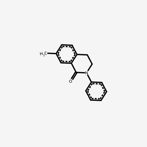 Cc1ccc2c(c1)C(=O)N(c1ccccc1)CC2